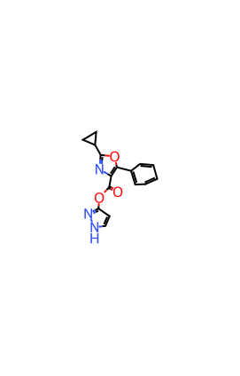 O=C(Oc1cc[nH]n1)c1nc(C2CC2)oc1-c1ccccc1